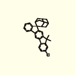 CC1(C)c2cc(Cl)ccc2-c2cc3c(cc21)C1(c2ccccc2-3)C2CC3CC(C2)CC1C3